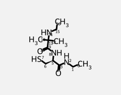 CCNC(=O)[C@@H](CS)NC(=O)C(C)(C)NCC